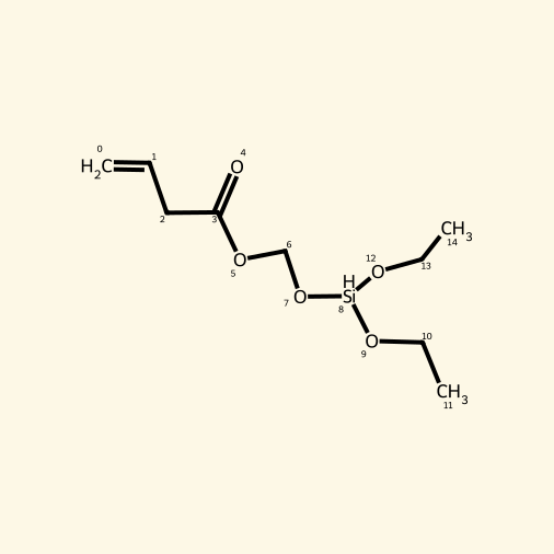 C=CCC(=O)OCO[SiH](OCC)OCC